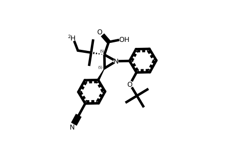 [2H]CC(C)(C)[C@@]1(C(=O)O)[C@H](c2ccc(C#N)cc2)N1c1ccccc1OC(C)(C)C